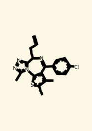 C=CCC1N=C(c2ccc(Cl)cc2)c2c(sc(C)c2C)-n2c(C)nnc21